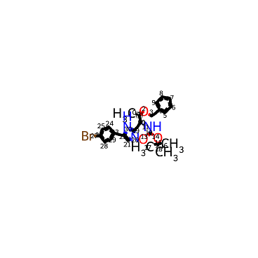 C[C@@H](OCc1ccccc1)[C@H](NC(=O)OC(C)(C)C)c1ncc(-c2ccc(Br)cc2)[nH]1